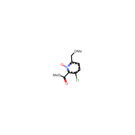 COCc1ccc(Cl)c(C(=O)OC)[n+]1[O-]